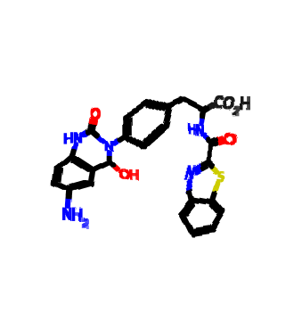 Nc1ccc2c(c1)C(O)N(c1ccc(CC(NC(=O)c3nc4ccccc4s3)C(=O)O)cc1)C(=O)N2